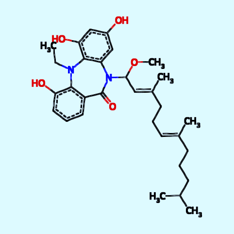 CCN1c2c(O)cccc2C(=O)N(C(/C=C(\C)CC/C=C(\C)CCCC(C)C)OC)c2cc(O)cc(O)c21